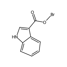 O=C(OBr)c1c[nH]c2ccccc12